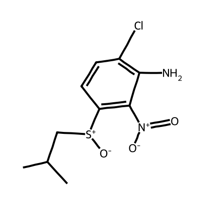 CC(C)C[S+]([O-])c1ccc(Cl)c(N)c1[N+](=O)[O-]